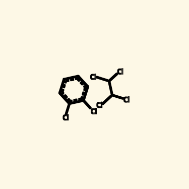 ClC(Cl)C(Cl)Cl.Clc1ccccc1Cl